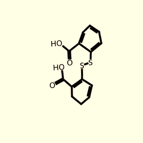 O=C(O)C1=C(SSc2ccccc2C(=O)O)C=CCC1